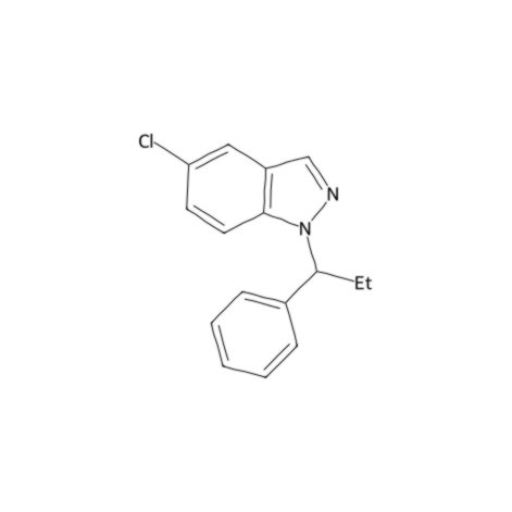 [CH2]CC(c1ccccc1)n1ncc2cc(Cl)ccc21